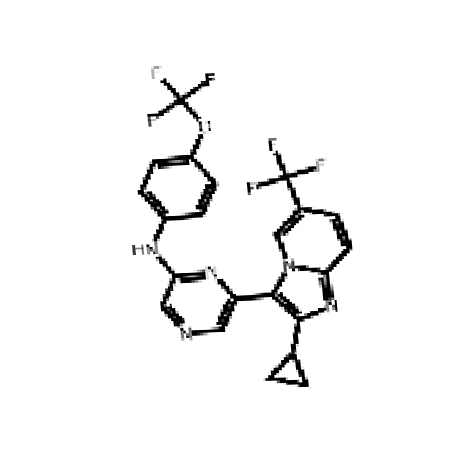 FC(F)(F)Oc1ccc(Nc2cncc(-c3c(C4CC4)nc4ccc(C(F)(F)F)cn34)n2)cc1